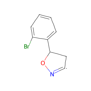 Brc1ccccc1C1C[C]=NO1